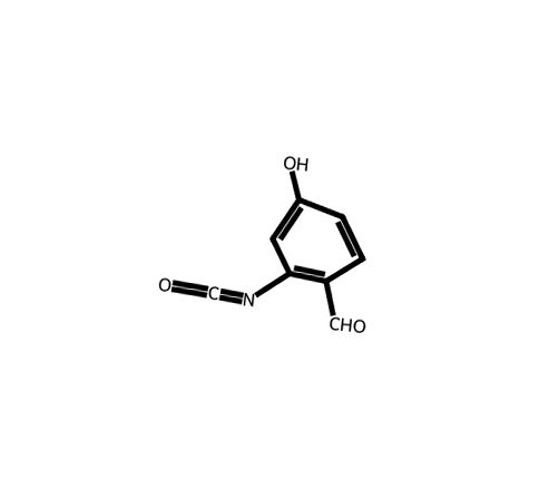 O=C=Nc1cc(O)ccc1C=O